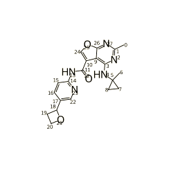 Cc1nc(NC2(C)CC2)c2c(C(=O)Nc3ccc(C4CCO4)cn3)coc2n1